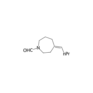 CCC/C=C1/CCCN(C=O)CC1